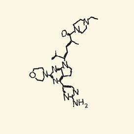 C=C(C)/C(=C\C=C(/C)C(=O)N1CCN(CC)CC1)N1CCc2c(-c3cnc(N)nc3)nc(N3CCOCC3)nc21